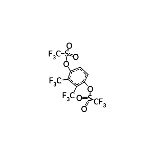 O=S(=O)(Oc1ccc(OS(=O)(=O)C(F)(F)F)c(C(F)(F)F)c1C(F)(F)F)C(F)(F)F